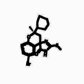 CSC1=NC2(C[C@](C)(C3CCCCC3)Oc3ccc(Br)cc32)C(=O)N1